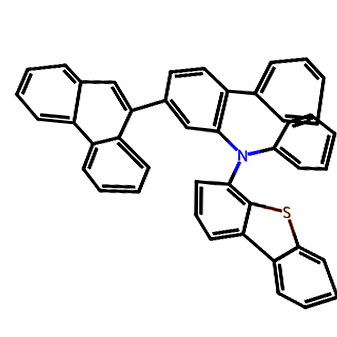 c1ccc(-c2ccc(-c3cc4ccccc4c4ccccc34)cc2N(c2ccccc2)c2cccc3c2sc2ccccc23)cc1